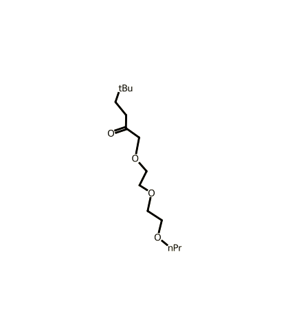 CCCOCCOCCOCC(=O)CCC(C)(C)C